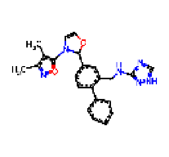 Cc1noc(N2C=COC2c2ccc(-c3ccccc3)c(CNc3nc[nH]n3)c2)c1C